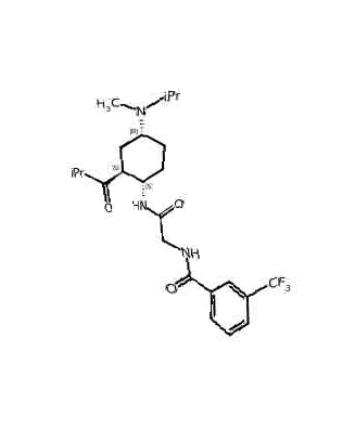 CC(C)C(=O)[C@H]1C[C@H](N(C)C(C)C)CC[C@@H]1NC(=O)CNC(=O)c1cccc(C(F)(F)F)c1